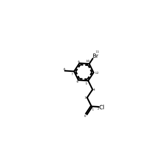 C=C(Cl)C[CH]c1cc(C)cc(Br)c1